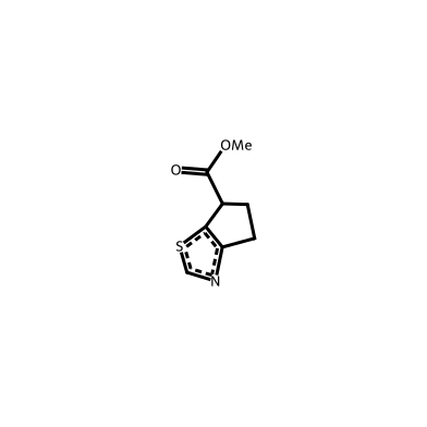 COC(=O)C1CCc2ncsc21